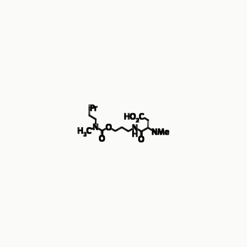 CNC(CC(=O)O)C(=O)NCCCOC(=O)N(C)CCC(C)C